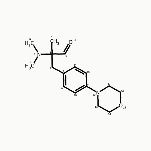 CN(C)C(C)(C=O)Cc1ccc(N2CCOCC2)cc1